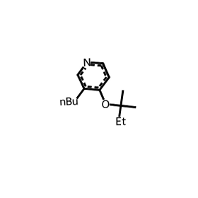 CCCCc1cnccc1OC(C)(C)CC